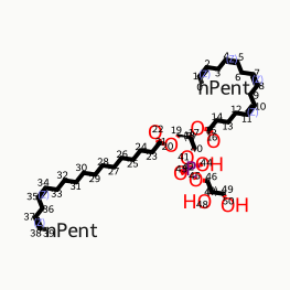 CCCCC/C=C\C/C=C\C/C=C\C/C=C\CCCC(=O)O[C@H](COC(=O)CCCCCCCCCCC/C=C\C/C=C\CCCCC)COP(=O)(O)OC[C@@H](O)CO